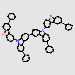 c1ccc(-c2ccc3oc4ccc(-n5c6ccc(-c7ccccc7)cc6c6cc(-c7ccc8c(c7)c7cc(-c9ccccc9)ccc7n8-c7ccc8sc9ccc(-c%10ccccc%10)cc9c8c7)ccc65)cc4c3c2)cc1